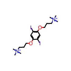 C[N+](C)(C)CCCOc1cc(I)c(OCCC[N+](C)(C)C)cc1I